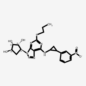 CCCSc1nc(NC2CC2c2cccc([N+](=O)[O-])c2)c2nnn([C@H]3C[C@@H](O)[C@H](O)[C@@H]3O)c2n1